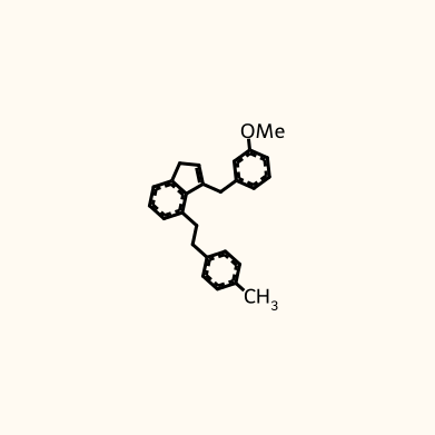 COc1cccc(CC2=CCc3cccc(CCc4ccc(C)cc4)c32)c1